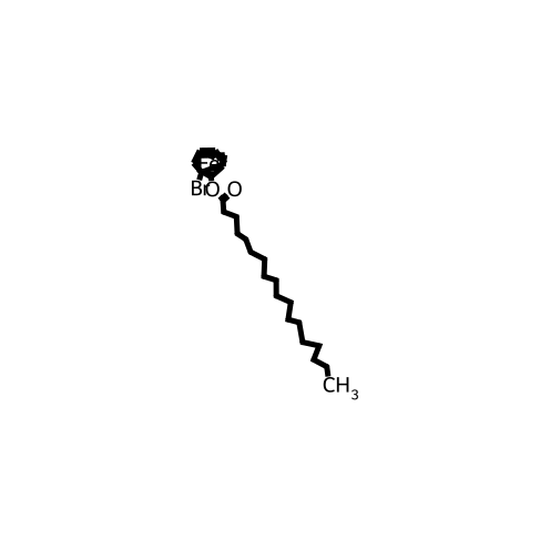 CCCCCCCCCCCCCCCCCC(=O)O[C]12[CH]3[CH]4[CH]5[CH]1[Fe]45321678[CH]2[CH]1[CH]6[C]7(Br)[CH]28